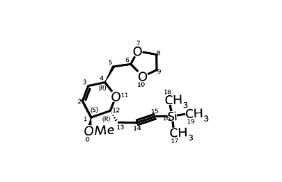 CO[C@H]1C=C[C@@H](CC2OCCO2)O[C@@H]1CC#C[Si](C)(C)C